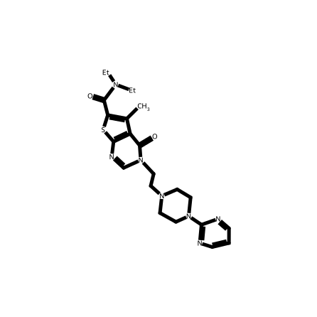 CCN(CC)C(=O)c1sc2ncn(CCN3CCN(c4ncccn4)CC3)c(=O)c2c1C